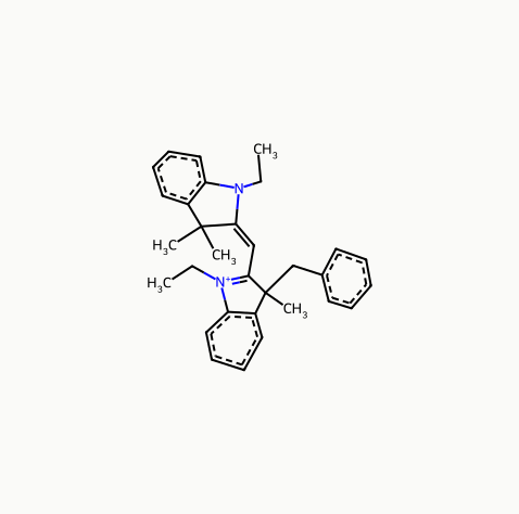 CCN1C(=CC2=[N+](CC)c3ccccc3C2(C)Cc2ccccc2)C(C)(C)c2ccccc21